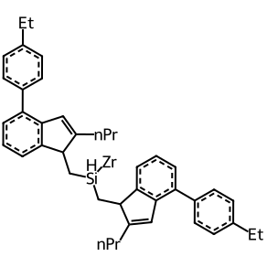 CCCC1=Cc2c(-c3ccc(CC)cc3)cccc2C1C[SiH]([Zr])CC1C(CCC)=Cc2c(-c3ccc(CC)cc3)cccc21